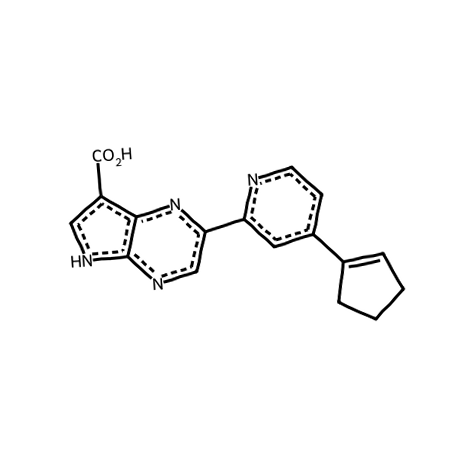 O=C(O)c1c[nH]c2ncc(-c3cc(C4=CCCC4)ccn3)nc12